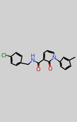 Cc1cccc(-n2cccc(C(=O)NCc3ccc(Cl)cc3)c2=O)c1